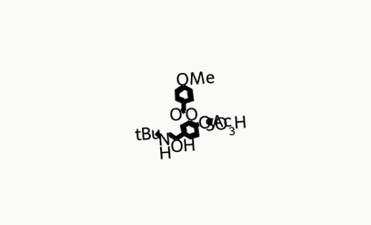 COc1ccc(C(=O)Oc2cc(C(O)CNC(C)(C)C)ccc2OC(C)=O)cc1.CS(=O)(=O)O